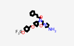 N[C@H]1CCN(C(=O)CN(C(=O)C=Cc2ccccc2)c2ccc(OCc3ccc(OC(F)(F)F)cc3)cc2)C1